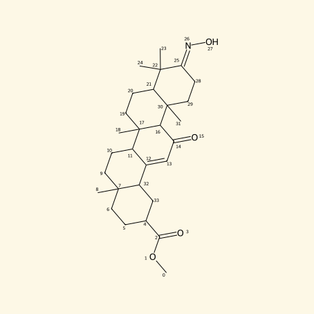 COC(=O)C1CCC2(C)CCC3C(=CC(=O)C4C3(C)CCC3C(C)(C)C(=NO)CCC34C)C2C1